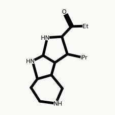 CCC(=O)C1NC2NC3CCNCC3C2C1C(C)C